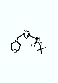 CC(C)(C)OC(=O)Nc1cnc(CN2CCOCC2)s1